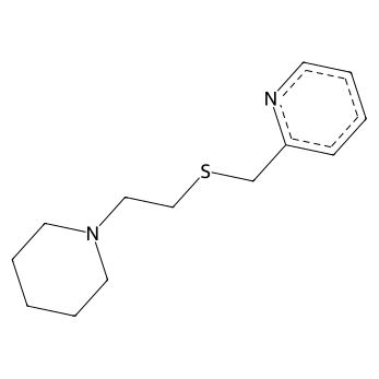 c1ccc(CSCCN2CCCCC2)nc1